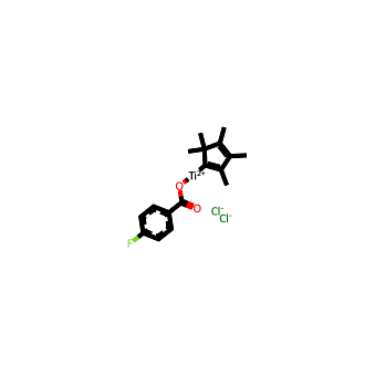 CC1=C(C)C(C)(C)[C]([Ti+2][O]C(=O)c2ccc(F)cc2)=C1C.[Cl-].[Cl-]